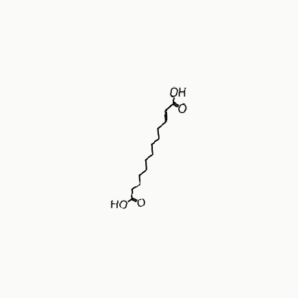 O=C(O)C=CCCCCCCCCCC(=O)O